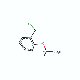 C[C@@H](Oc1ccccc1CCl)C(=O)O